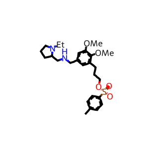 CCN1CCCC1CNCc1cc(CCCOS(=O)(=O)c2ccc(C)cc2)c(OC)c(OC)c1